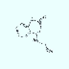 CCNc1cc(=O)oc2ccccc12